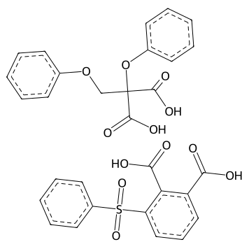 O=C(O)C(COc1ccccc1)(Oc1ccccc1)C(=O)O.O=C(O)c1cccc(S(=O)(=O)c2ccccc2)c1C(=O)O